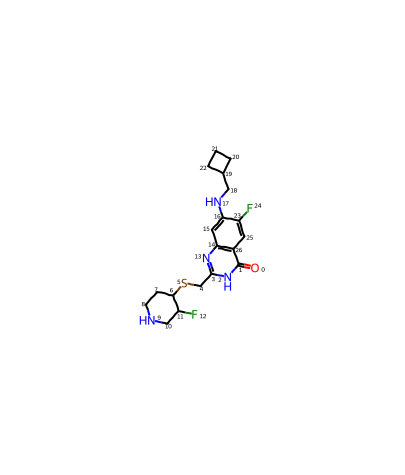 O=c1[nH]c(CSC2CCNCC2F)nc2cc(NCC3CCC3)c(F)cc12